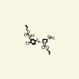 C=CCOC(=O)NCc1cc(SC[C@@H]2C[C@H](SC(C)=O)CN2C(=O)OCC=C)ccc1Cl